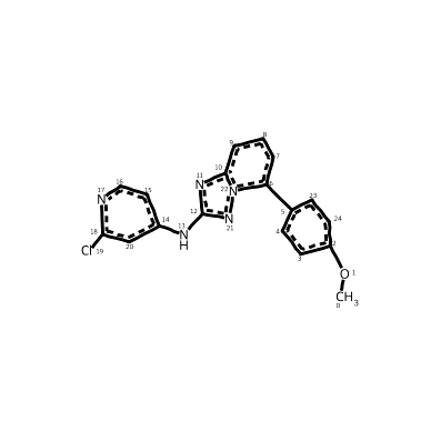 COc1ccc(-c2cccc3nc(Nc4ccnc(Cl)c4)nn23)cc1